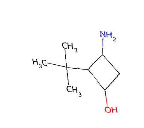 CC(C)(C)C1C(N)CC1O